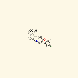 Cc1cc(Cl)ccc1OC1CCN(CC2CCN([C@H](C)C(=O)O)CC2)CC1